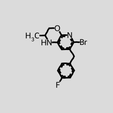 CC1COc2nc(Br)c(Cc3ccc(F)cc3)cc2N1